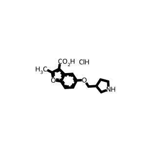 Cc1oc2ccc(OCC3CCNC3)cc2c1C(=O)O.Cl